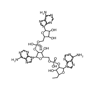 CCC1OC(n2cnc3c(N)ncnc32)C(OP(=O)(O)OCC2OC(n3cnc4c(N)ncnc43)C(O[PH](O)(O)OCC3OC(n4cnc5c(N)ncnc54)C(O)C3O)C2O)C1O